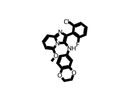 COc1cccc2nc(-c3c(F)cccc3Cl)c(Nc3ccc4c(c3)OCCO4)n12